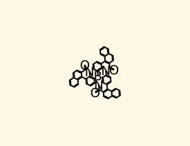 O=c1c2ccc3ccccc3c2c2ccc3c4c2n1-c1ccc2c5c(ccc6ccccc65)c(=O)n5c2c1B4c1c-5ccc2c4c(ccc5ccccc54)c(=O)n-3c12